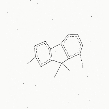 Cc1ccc2c(c1)C(C)(C)c1c(I)cccc1-2